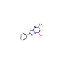 Cc1cc(O)n2nc(-c3ccccc3)nc2n1